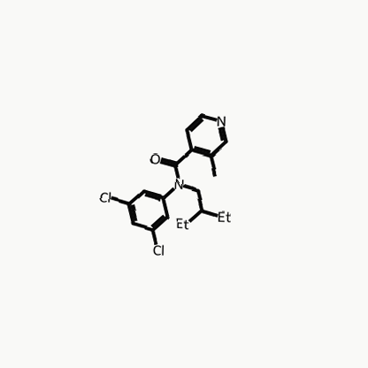 CCC(CC)CN(C(=O)c1ccncc1C)c1cc(Cl)cc(Cl)c1